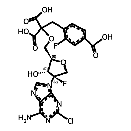 Nc1nc(Cl)nc2c1ncn2[C@@]1(F)CO[C@H](COC(Cc2ccc(C(=O)O)cc2F)(C(=O)O)C(=O)O)[C@H]1O